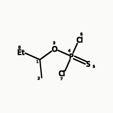 CCC(C)OP(=S)(Cl)Cl